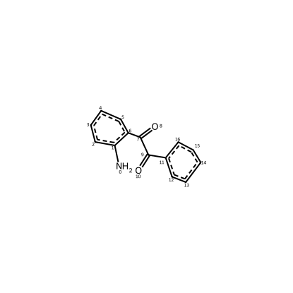 Nc1ccccc1C(=O)C(=O)c1ccccc1